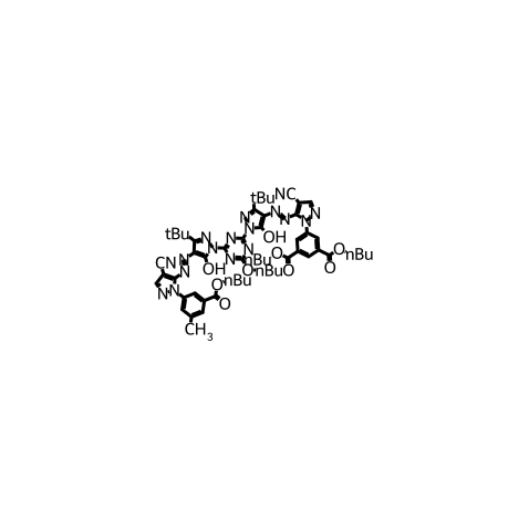 CCCCOC(=O)c1cc(C)cc(-n2ncc(C#N)c2N=Nc2c(C(C)(C)C)nn(-c3nc(OCCCC)nc(-n4nc(C(C)(C)C)c(N=Nc5c(C#N)cnn5-c5cc(C(=O)OCCCC)cc(C(=O)OCCCC)c5)c4O)n3)c2O)c1